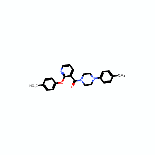 COc1ccc(N2CCN(C(=O)c3cccnc3Oc3ccc(C(=O)O)cc3)CC2)cc1